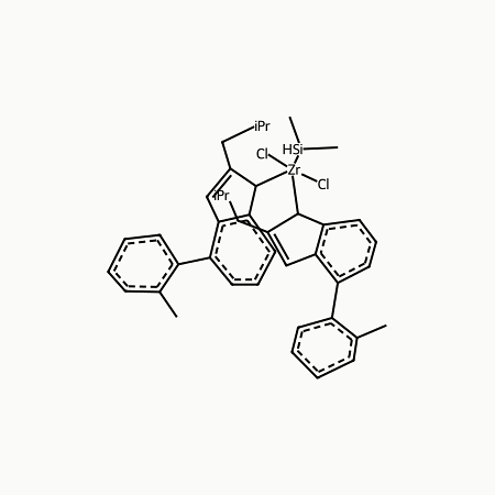 Cc1ccccc1-c1cccc2c1C=C(CC(C)C)[CH]2[Zr]([Cl])([Cl])([CH]1C(CC(C)C)=Cc2c(-c3ccccc3C)cccc21)[SiH](C)C